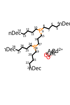 CC(=O)[O-].CC(=O)[O-].CCCCCCCCCCCCCCP(CCCCCCCCCCCCCC)CCCP(CCCCCCCCCCCCCC)CCCCCCCCCCCCCC.[Pd+2]